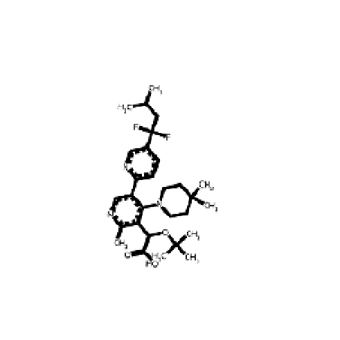 Cc1ncc(-c2ccc(C(F)(F)CC(C)C)cn2)c(N2CCC(C)(C)CC2)c1C(OC(C)(C)C)C(=O)O